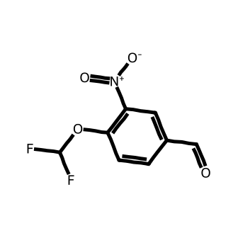 O=Cc1ccc(OC(F)F)c([N+](=O)[O-])c1